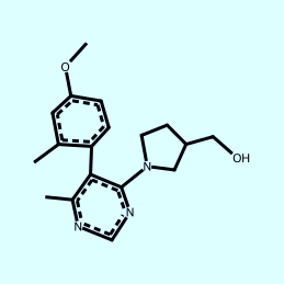 COc1ccc(-c2c(C)ncnc2N2CCC(CO)C2)c(C)c1